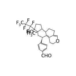 C[C@]12C[C@H](c3ccc(C=O)cc3)C3=C4CCOC=C4CCC3C1CC[C@@]2(O)C(F)(F)C(F)(F)C(F)(F)F